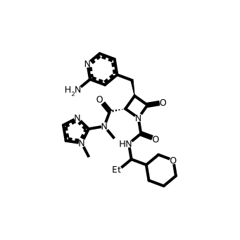 CCC(NC(=O)N1C(=O)[C@H](Cc2ccnc(N)c2)[C@H]1C(=O)N(C)c1nccn1C)C1CCCOC1